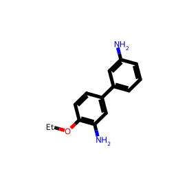 CCOc1ccc(-c2cccc(N)c2)cc1N